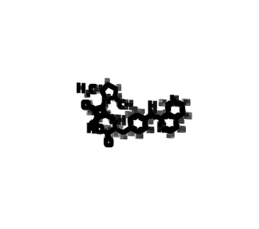 C[C@@H]1CC[C@@H](C)N1c1c(N[C@@H](Cc2ccc(Nc3nccc4ccncc34)cc2)C(=O)O)c(=O)c1=O